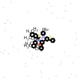 Cc1cc2c(cc1N1c3c(sc4cc5c(cc34)C(C)(C)CCC5(C)C)B3c4c(cc5c(oc6ccccc65)c41)-c1cc4c(cc1N3c1ccc(C(C)(C)C)cc1)sc1ccccc14)C(C)(C)CCC2(C)C